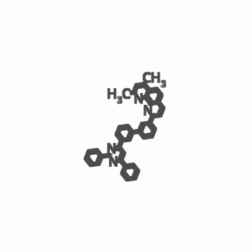 Cc1cc(C)c2ccc3ccc(-c4cccc(-c5cccc(-c6cc(-c7ccccc7)nc(-c7ccccc7)n6)c5)c4)nc3c2n1